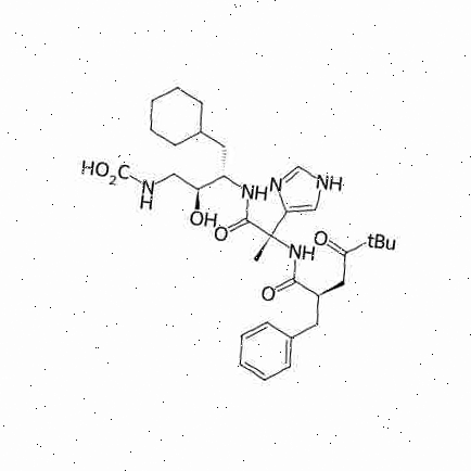 CC(C)(C)C(=O)C[C@@H](Cc1ccccc1)C(=O)N[C@](C)(C(=O)N[C@@H](CC1CCCCC1)[C@@H](O)CNC(=O)O)c1c[nH]cn1